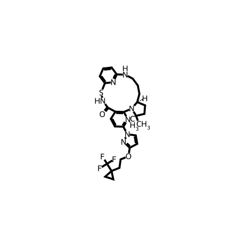 CC1(C)CC[C@@H]2CCCNc3cccc(n3)SNC(=O)c3ccc(-n4ccc(OCCC5(C(F)(F)F)CC5)n4)nc3N21